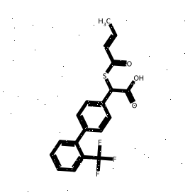 CC=CC(=O)SC(C(=O)O)c1ccc(-c2ccccc2C(F)(F)F)cc1